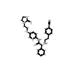 N#Cc1ccc(CCN[C@@H](C(=O)Nc2ccc(OCCN3CCOC3=O)cn2)c2ccccc2)cc1